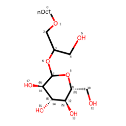 CCCCCCCCOCC(CO)OC1O[C@H](CO)[C@@H](O)[C@H](O)[C@H]1O